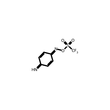 N=C1C=CC(=NOS(=O)(=O)C(F)(F)F)C=C1